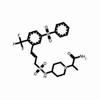 CC(C(N)=O)N1CCC(NS(=O)(=O)CC=Cc2cc(S(=O)(=O)c3ccccc3)ccc2C(F)(F)F)CC1